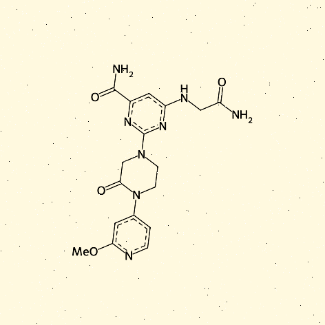 COc1cc(N2CCN(c3nc(NCC(N)=O)cc(C(N)=O)n3)CC2=O)ccn1